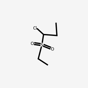 CCC(Cl)S(=O)(=O)CC